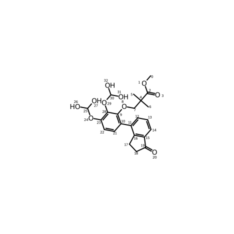 COC(=O)C(C)(C)COc1c(-c2cccc3c2CCC3=O)ccc(OC(O)O)c1OC(O)O